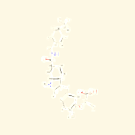 Cc1c(Cc2ccc(Cl)c(O[C@H](C)C(=O)O)c2)c2ccc(C(=O)NCc3ccc(C(C)(C)C)cc3)cc2n1C